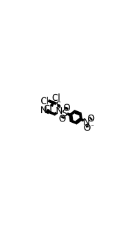 N#CCN(SC(Cl)(Cl)Cl)S(=O)(=O)c1ccc([N+](=O)[O-])cc1